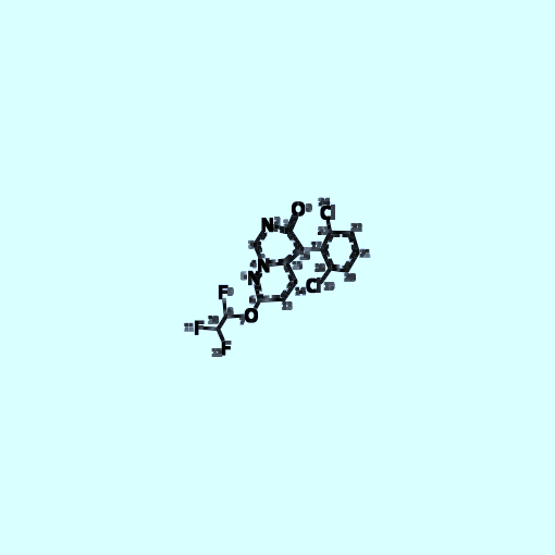 O=c1ncn2nc(OC(F)C(F)F)ccc2c1-c1c(Cl)cccc1Cl